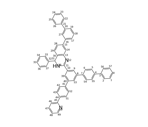 c1ccc(-c2ccc(-c3cc(C4=Nc5cc(-c6cccc(-c7ccccc7)c6)ccc5C(c5ccccc5)N4)cc(-c4ccc(-c5ccccn5)cc4)c3)cc2)cc1